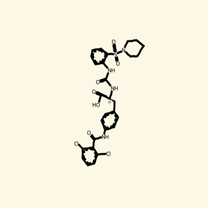 O=C(Nc1ccccc1S(=O)(=O)N1CCCCC1)N[C@@H](Cc1ccc(NC(=O)c2c(Cl)cccc2Cl)cc1)C(=O)O